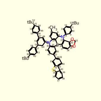 Cc1cc2c3c(c1)N(c1ccc(C(C)(C)C)cc1)c1c(ccc4c1OCO4)B3c1cc(-c3ccc4c(c3)sc3ccccc34)ccc1N2C1=CC(c2ccc(C(C)(C)C)cc2)=CC(c2ccc(C(C)(C)C)cc2)C1